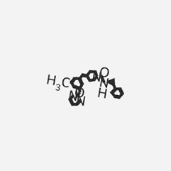 Cc1cc(C=C2CCN(C(=O)NC3CC3c3ccccc3)CC2)cc(Oc2ncccn2)c1